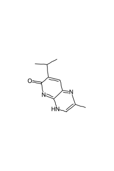 Cc1c[nH]c2nc(=O)c(C(C)C)cc-2n1